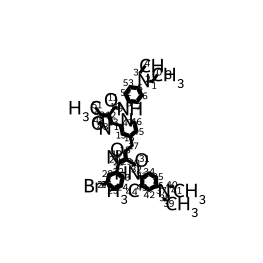 CCN(CC)c1ccc(NC(=O)c2c(-c3cc(Cc4onc(-c5cccc(Br)c5)c4C(=O)Nc4ccc(N(CC)CC)cc4C)ccn3)noc2C)cc1